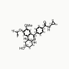 COc1cc2c(cc1OC(F)F)[C@@H]1C[C@@H](O)CC[C@@H]1N=C2c1ccc(C(=O)NC2CC2)cc1